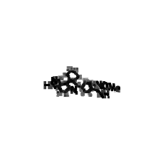 CONC(=N)c1ccc(-c2nc3ccc4[nH]ncc4c3c3c2CCCC3)cc1